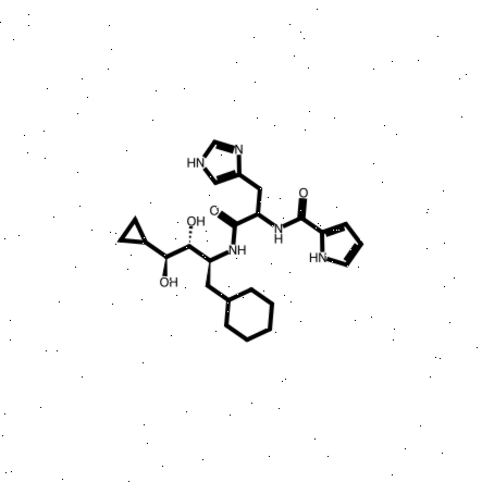 O=C(NC(Cc1c[nH]cn1)C(=O)N[C@@H](CC1CCCCC1)[C@@H](O)[C@@H](O)C1CC1)c1ccc[nH]1